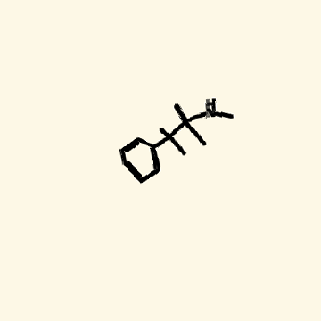 CNC(C)(C)C(C)(C)c1ccccc1